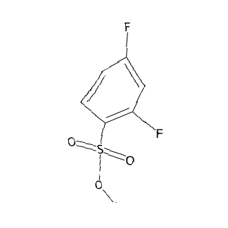 [CH2]OS(=O)(=O)c1ccc(F)cc1F